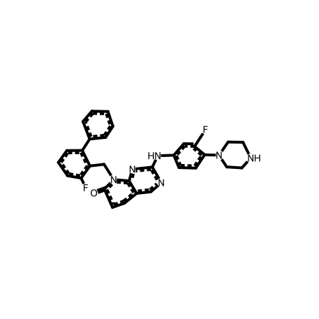 O=c1ccc2cnc(Nc3ccc(N4CCNCC4)c(F)c3)nc2n1Cc1c(F)cccc1-c1ccccc1